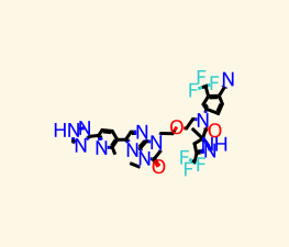 CCN1C(=O)CN(CCOCCN(C(=O)C2(C)CC(C(F)(F)F)=NN2)c2ccc(C#N)c(C(F)(F)F)c2)c2ncc(-c3ccc(-c4nc[nH]n4)nc3C)nc21